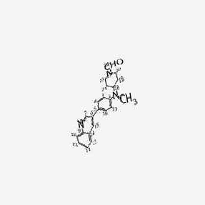 CN(c1ccc(-c2cnc3ccccc3c2)cc1)C1CCN(C=O)CC1